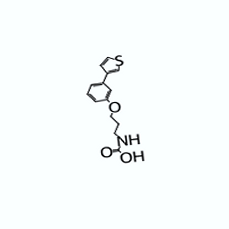 O=C(O)NCCCOc1cccc(-c2ccsc2)c1